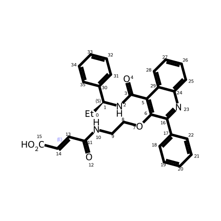 CC[C@H](NC(=O)c1c(OCCNC(=O)/C=C/C(=O)O)c(-c2ccccc2)nc2ccccc12)c1ccccc1